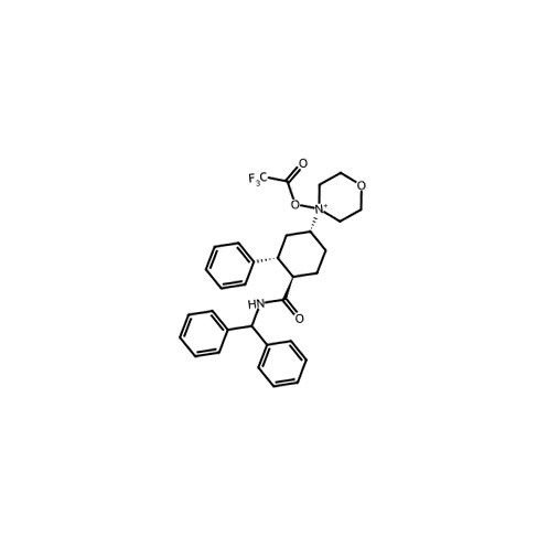 O=C(NC(c1ccccc1)c1ccccc1)[C@@H]1CC[C@@H]([N+]2(OC(=O)C(F)(F)F)CCOCC2)C[C@H]1c1ccccc1